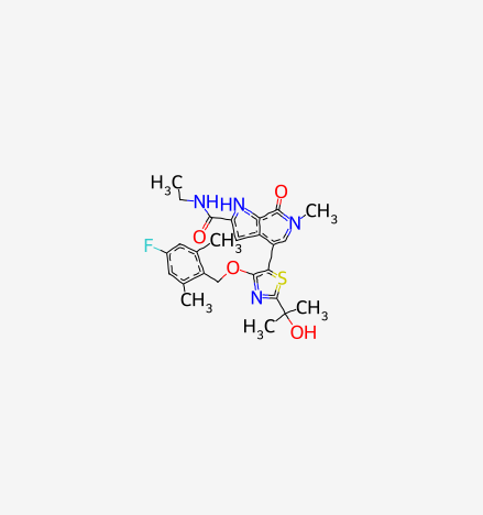 CCNC(=O)c1cc2c(-c3sc(C(C)(C)O)nc3OCc3c(C)cc(F)cc3C)cn(C)c(=O)c2[nH]1